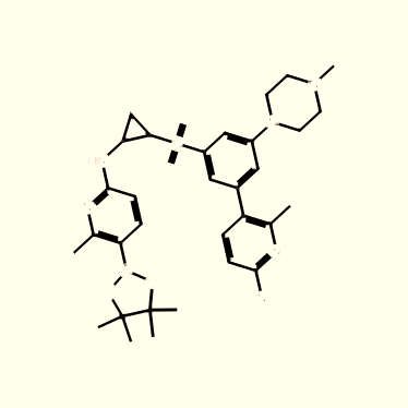 Cc1nc(NC2CC2S(=O)(=O)c2cc(-c3ccc(N)nc3C)cc(N3CCN(C)CC3)c2)ccc1B1OC(C)(C)C(C)(C)O1